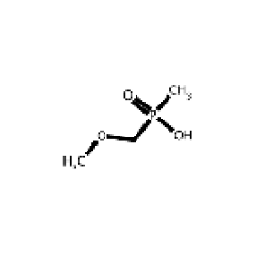 COCP(C)(=O)O